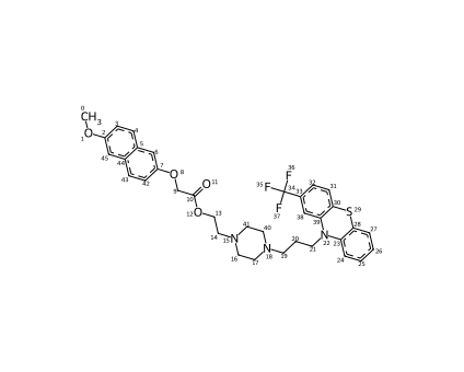 COc1ccc2cc(OCC(=O)OCCN3CCN(CCCN4c5ccccc5Sc5ccc(C(F)(F)F)cc54)CC3)ccc2c1